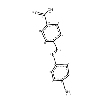 Nc1ccc(N=Nc2ccc(C(=O)O)cc2)cc1